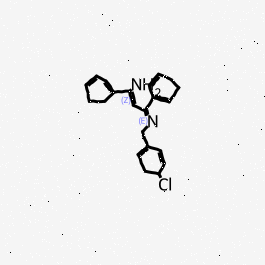 N/C(=C\C(=N/CC1=CCC(Cl)C=C1)C1=CCCC=C1)C1=CC=CCC1